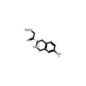 COCC(=O)[C@@H]1Cc2ccc(O)cc2CN1